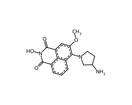 COc1cc2c3c(cccc3c1N1CCC(N)C1)C(=O)N(O)C2=O